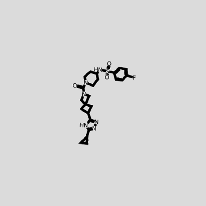 O=C(N1CCC(NS(=O)(=O)c2ccc(F)cc2)CC1)N1CC2(CC(c3nnc(C4CC4)[nH]3)C2)C1